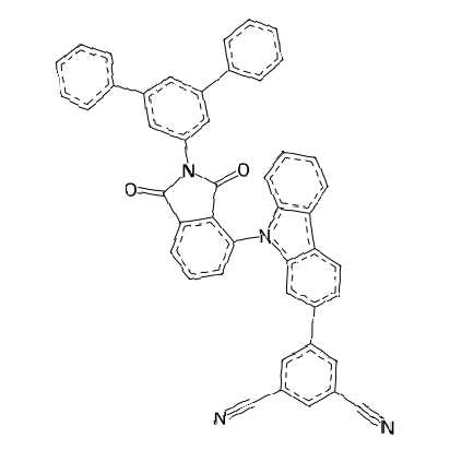 N#Cc1cc(C#N)cc(-c2ccc3c4ccccc4n(-c4cccc5c4C(=O)N(c4cc(-c6ccccc6)cc(-c6ccccc6)c4)C5=O)c3c2)c1